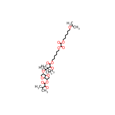 CC(C)OCCCCCCOC(=O)C(=O)OCCCCCCOC(=O)C(=O)C(C)(C)C(C)(C)O[C@H]1COC2C1OC[C@H]2OC(=O)C(=O)C(C)C